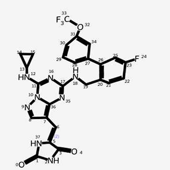 O=C1NC(=O)/C(=C/c2cnn3c(NC4CC4)nc(NCc4ccc(F)cc4-c4cccc(OC(F)(F)F)c4)nc23)N1